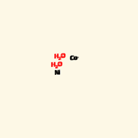 O.O.[Co].[Ni]